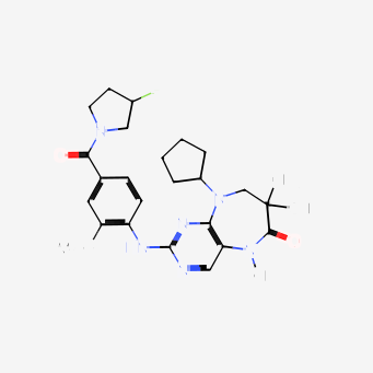 COc1cc(C(=O)N2CCC(F)C2)ccc1Nc1ncc2c(n1)N(C1CCCC1)CC(C)(C)C(=O)N2C